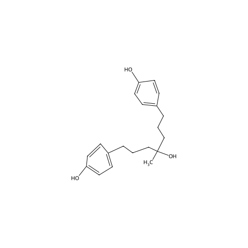 CC(O)(CCCc1ccc(O)cc1)CCCc1ccc(O)cc1